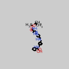 CC(C)COC(C)ONC(=O)c1cnc(N2CCC(CNCc3ccc(CN[C@H](C(=O)O)C4CCCCC4)cc3)CC2)nc1